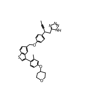 CC#CC(Cc1nnn[nH]1)c1ccc(OCc2ccc3scc(-c4ccc(OC5CCOCC5)cc4C)c3c2)cc1